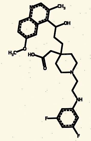 COc1ccc2ncc(C)c(C(O)CCC3(CC(=O)O)CCN(CCNc4cc(F)cc(F)c4)CC3)c2c1